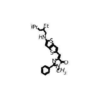 CCC(CNc1cc2sc(/C=C3\N=C(c4ccccc4)N(C)C3=O)cc2s1)CC(C)C